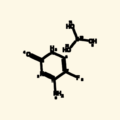 Nc1nc(=O)[nH]cc1F.OB(O)O